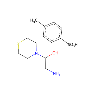 Cc1ccc(S(=O)(=O)O)cc1.NCC(O)N1CCSCC1